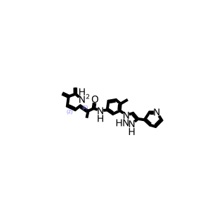 C=C(N)C(=C)/C=C\C=C(/C)C(=O)Nc1ccc(C)c(N2C=C(c3cccnc3)NN2)c1